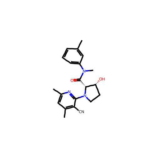 Cc1cccc(N(C)C(=O)[C@@H]2[C@H](O)CCN2c2nc(C)cc(C)c2C#N)c1